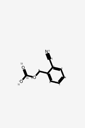 N#Cc1ccccc1COC([O])=O